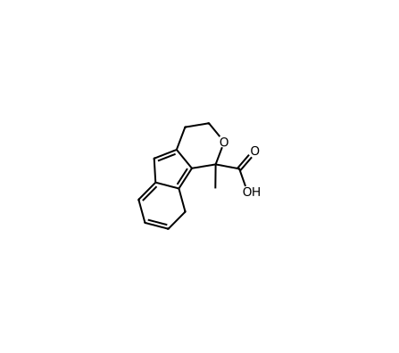 CC1(C(=O)O)OCCC2=CC3=CC=CCC3=C21